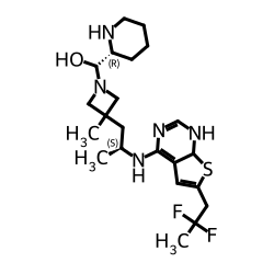 C[C@@H](CC1(C)CN(C(O)[C@H]2CCCCN2)C1)NC1=C2C=C(CC(C)(F)F)SC2NC=N1